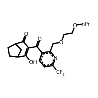 CCCOCCOCc1nc(C(F)(F)F)ccc1C(=O)C1=C(O)C2CCC(C2)C1=O